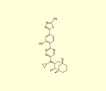 C[C@@]12CCC[C@@H](C[C@H](N(c3cnc(-c4ccc(-c5nnc(C#N)s5)cc4O)nn3)C3CC3)[C@@H]1F)C2